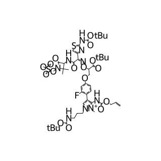 C=CCOC(=O)Nc1c(-c2ccc(OCC(O/N=C(\C(=O)N[C@@H]3C(=O)N(OS(=O)(=O)[O-])C3(C)C)c3csc(NC(=O)OC(C)(C)C)n3)C(=O)OC(C)(C)C)cc2F)cn(CCCNC(=O)OC(C)(C)C)[n+]1C